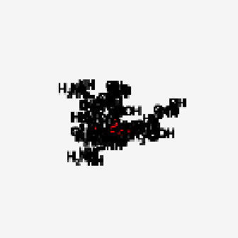 CC(C)[C@H](NC(=O)[C@@H]1CCCN1C(=O)[C@H](CCC(N)=O)NC(=O)[C@@H]1CCCN1C(=O)[C@H](CCCNC(=N)N)NC(=O)[C@H](Cc1ccc(O)cc1)NC(=O)[C@H](CO)NC(=O)[C@@H]1CCCN1)C(=O)N1CCC[C@H]1C(=O)N[C@H](C(=O)N1CCC[C@H]1C(=O)N[C@@H](CCCNC(=N)N)C(=O)N[C@@H](C)C(=O)NCC(=O)N1CCC[C@H]1C(=O)NCC(=O)N[C@@H](Cc1ccc(O)cc1)C(=O)NCC(=O)NCC(=O)NCC(=O)O)C(C)C